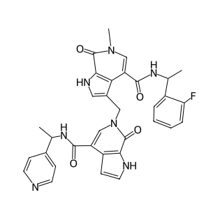 CC(NC(=O)c1cn(Cc2c[nH]c3c(=O)n(C)cc(C(=O)NC(C)c4ccccc4F)c23)c(=O)c2[nH]ccc12)c1ccncc1